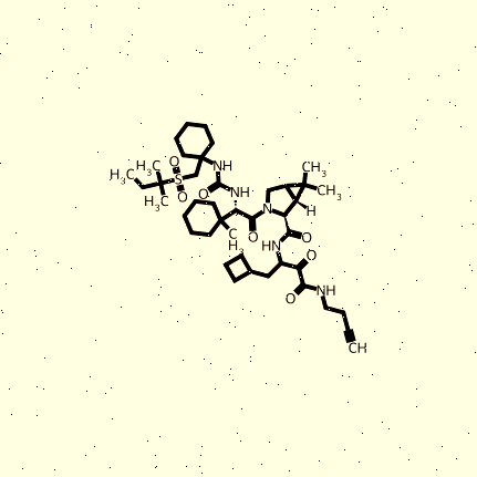 C#CCCNC(=O)C(=O)C(CC1CCC1)NC(=O)[C@@H]1[C@@H]2C(CN1C(=O)[C@@H](NC(=O)NC1(CS(=O)(=O)C(C)(C)CC)CCCCC1)C1(C)CCCCC1)C2(C)C